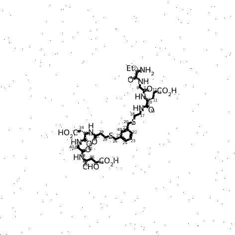 CC[C@H](N)C(=O)NCC(=O)N[C@@H](CCC(=O)O)C(=O)NCCSCc1cccc(CSCCC(=O)N[C@@H](CC(=O)O)C(=O)N[C@@H](C)C(=O)N[C@H](C=O)CCC(=O)O)c1